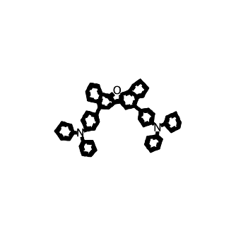 c1ccc(N(c2ccccc2)c2ccc(-c3cc4c5cc(-c6ccc(N(c7ccccc7)c7ccccc7)cc6)c6ccccc6c5oc4c4ccccc34)cc2)cc1